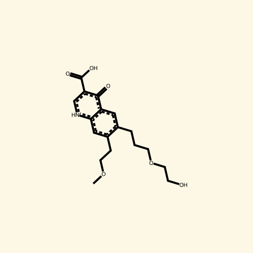 COCCc1cc2[nH]cc(C(=O)O)c(=O)c2cc1CCCOCCO